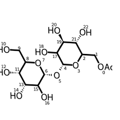 CC(=O)OCC1O[C@H](O[C@H]2OC(CO)[C@@H](O)[C@@H](O)C2O)C(O)[C@@H](O)[C@@H]1O